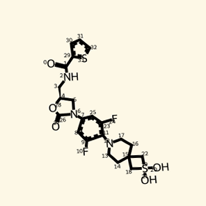 O=C(NC[C@H]1CN(c2cc(F)c(N3CCC4(CC3)CS(O)(O)C4)c(F)c2)C(=O)O1)c1cccs1